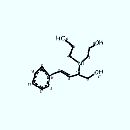 OCCN(CCO)C(C=Cc1ccccc1)CO